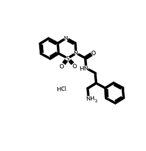 Cl.NCC(CNC(=O)N1C=Nc2ccccc2S1(=O)=O)c1ccccc1